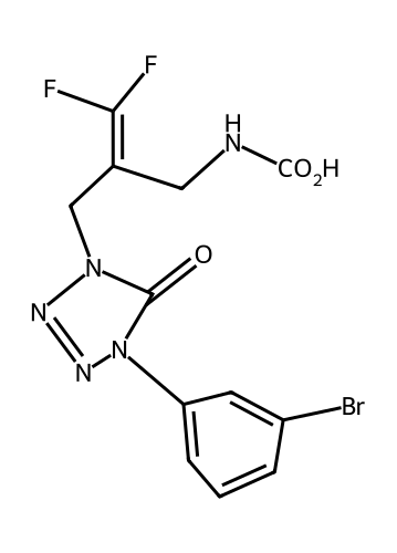 O=C(O)NCC(Cn1nnn(-c2cccc(Br)c2)c1=O)=C(F)F